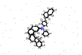 c1ccc(N(c2ccc(-c3ccc4ccccc4c3)cc2)c2ccc3ccc4ccc5c6ccccc6[se]c5c4c3c2)cc1